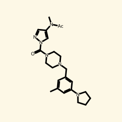 CC(=O)N(C)c1cnn(C(=O)N2CCN(Cc3cc(C)cc(N4CCCC4)c3)CC2)c1